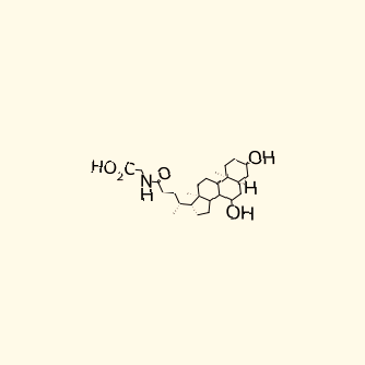 C[C@H](CCC(=O)NCC(=O)O)[C@H]1CCC2C3C(O)C[C@@H]4C[C@H](O)CC[C@]4(C)C3CC[C@@]21C